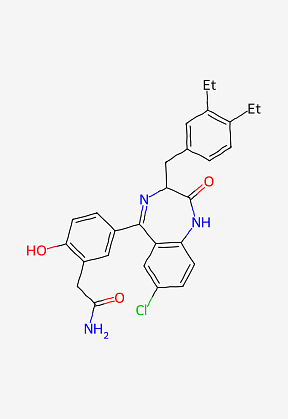 CCc1ccc(CC2N=C(c3ccc(O)c(CC(N)=O)c3)c3cc(Cl)ccc3NC2=O)cc1CC